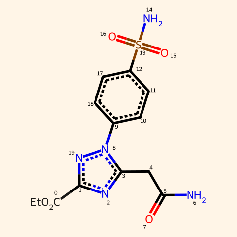 CCOC(=O)c1nc(CC(N)=O)n(-c2ccc(S(N)(=O)=O)cc2)n1